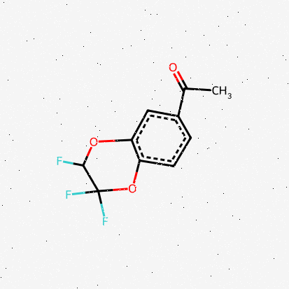 CC(=O)c1ccc2c(c1)OC(F)C(F)(F)O2